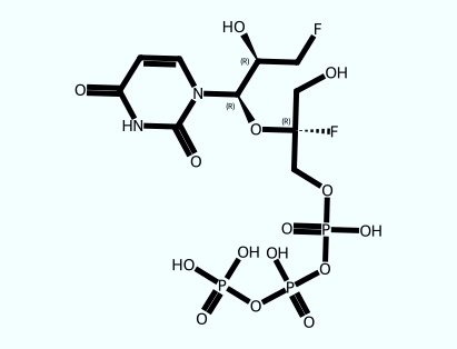 O=c1ccn([C@H](O[C@@](F)(CO)COP(=O)(O)OP(=O)(O)OP(=O)(O)O)[C@@H](O)CF)c(=O)[nH]1